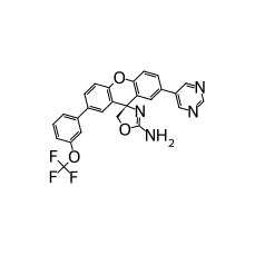 NC1=N[C@@]2(CO1)c1cc(-c3cncnc3)ccc1Oc1ccc(-c3cccc(OC(F)(F)F)c3)cc12